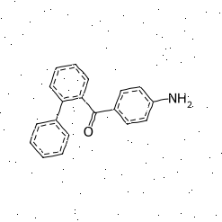 Nc1ccc(C(=O)c2ccccc2-c2ccccc2)cc1